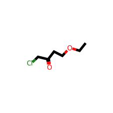 CCOCCC(=O)CCl